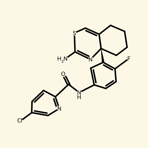 NC1=N[C@@]2(c3cc(NC(=O)c4ccc(Cl)cn4)ccc3F)CCCCC2=CS1